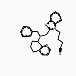 N#CCCCn1c(CN(Cc2ccccc2)C2CCCc3cccnc32)nc2ccccc21